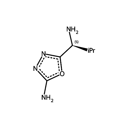 CC(C)[C@H](N)c1nnc(N)o1